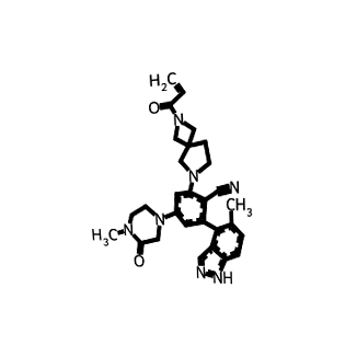 C=CC(=O)N1CC2(CCN(c3cc(N4CCN(C)C(=O)C4)cc(-c4c(C)ccc5[nH]ncc45)c3C#N)C2)C1